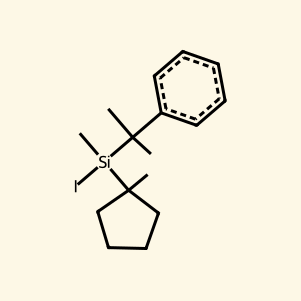 CC1([Si](C)(I)C(C)(C)c2ccccc2)CCCC1